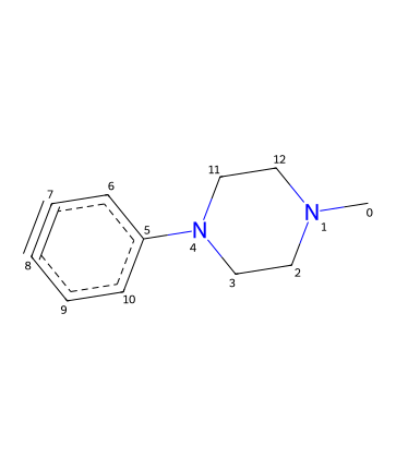 CN1CCN(c2cc#ccc2)CC1